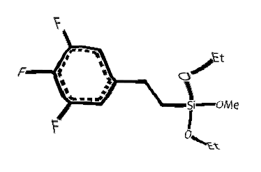 CCO[Si](CCc1cc(F)c(F)c(F)c1)(OC)OCC